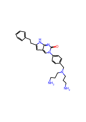 NCCCN(CCCN)Cc1ccc(-n2cc3cc(CCc4ccccc4)[nH]c3nc2=O)cc1